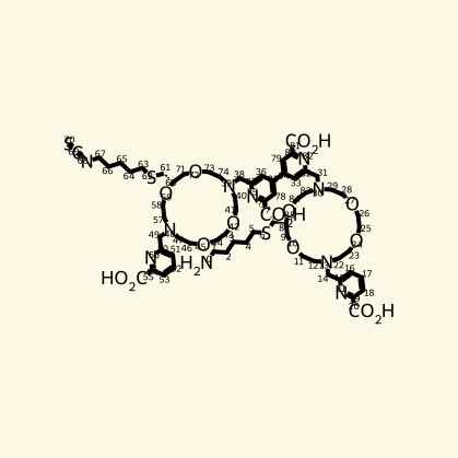 NCCCCCSC[C@@H]1COCCN(Cc2cccc(C(=O)O)n2)CCOCCOCCN(Cc2cc(-c3cc(CN4CCOCCOCCN(Cc5cccc(C(=O)O)n5)CCO[C@H](CSCCCCCN=C=S)COCC4)nc(C(=O)O)c3)cc(C(=O)O)n2)CCO1